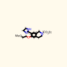 CCOC(=O)N1CCc2cc(OCCOC)c(C3=NCCN3)cc2C1